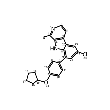 Cc1nccc2c1[nH]c1c(-c3ccc(OC4CCCC4)cc3)cc(Cl)cc12